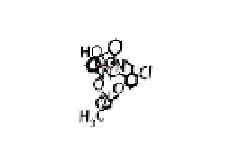 Cc1cc(COc2ccc(Cl)c3c2[C@@H](CN2Cc4ccccc4C2=O)N(C(=O)[C@@H]2CCCC[C@@H]2C(=O)O)CC3)no1